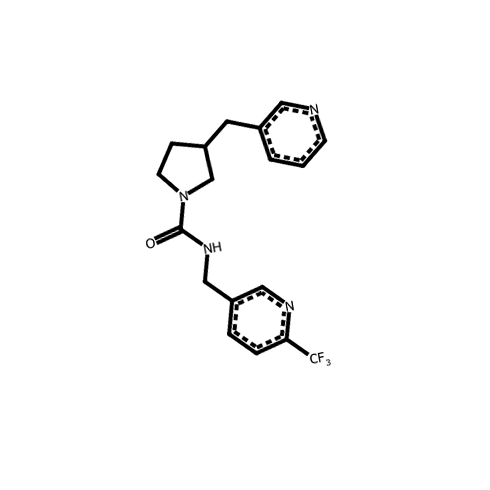 O=C(NCc1ccc(C(F)(F)F)nc1)N1CCC(Cc2cccnc2)C1